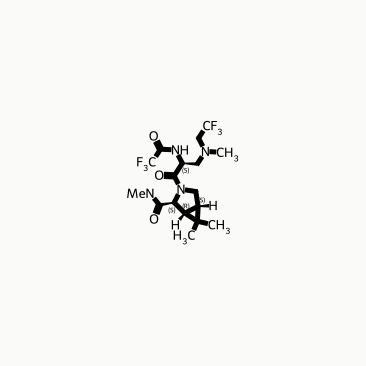 CNC(=O)[C@@H]1[C@@H]2[C@H](CN1C(=O)[C@H](CN(C)CC(F)(F)F)NC(=O)C(F)(F)F)C2(C)C